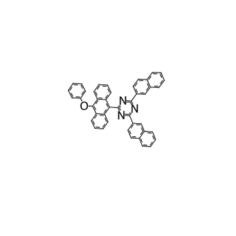 c1ccc(Oc2c3ccccc3c(-c3nc(-c4ccc5ccccc5c4)nc(-c4ccc5ccccc5c4)n3)c3ccccc23)cc1